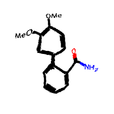 COc1ccc(-c2ccccc2C(N)=O)cc1OC